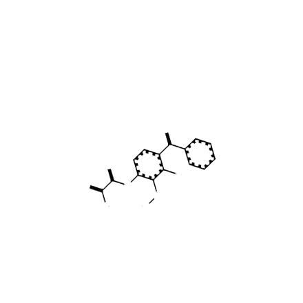 C=C(O)C(=O)Oc1ccc(C(=O)c2ccccc2)c(O)c1OCCC